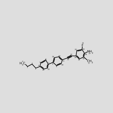 CCCCc1ccc(-c2ccc(C#Cc3cc(C)c(N)c(F)c3)cc2)cc1